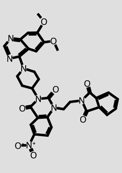 COc1cc2ncnc(N3CCC(n4c(=O)c5cc([N+](=O)[O-])ccc5n(CCN5C(=O)c6ccccc6C5=O)c4=O)CC3)c2cc1OC